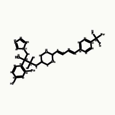 CC(C)(SC1COC(C=CC=Cc2ccc(C(F)(F)F)cc2)OC1)C(O)(Cn1cncn1)c1ccc(F)cc1F